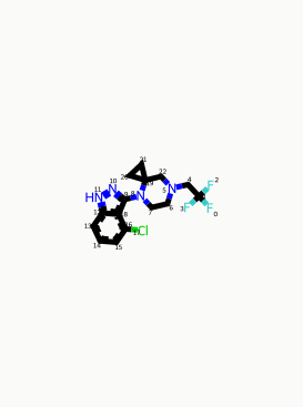 FC(F)(F)CN1CCN(c2n[nH]c3cccc(Cl)c23)C2(CC2)C1